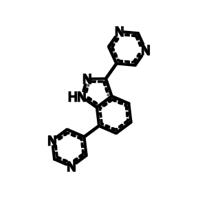 c1cc(-c2cncnc2)c2[nH]nc(-c3cncnc3)c2c1